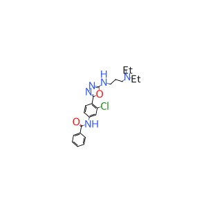 CCN(CC)CCCNc1nnc(-c2ccc(NC(=O)c3ccccc3)cc2Cl)o1